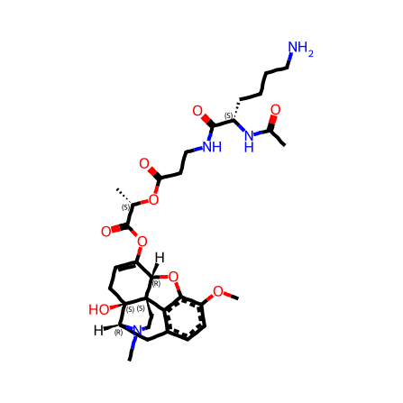 COc1ccc2c3c1O[C@H]1C(OC(=O)[C@H](C)OC(=O)CCNC(=O)[C@H](CCCCN)NC(C)=O)=CC[C@@]4(O)[C@@H](C2)N(C)CC[C@]314